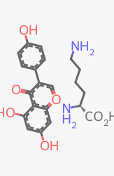 NCCCC[C@H](N)C(=O)O.O=c1c(-c2ccc(O)cc2)coc2cc(O)cc(O)c12